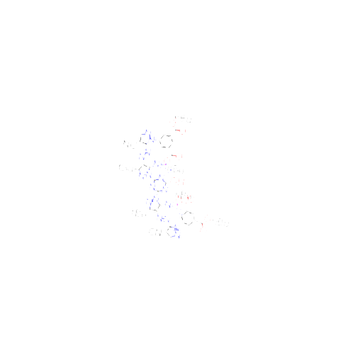 [C-]#[N+]c1cnn(-c2cc(C(=O)OCCCC)cc(C(=O)OCCCC)c2)c1N=Nc1c(C(C)(C)C)nn(-c2nc(O)nc(-n3nc(C(C)(C)C)c(N=Nc4c(C#N)cnn4-c4cc(C(=O)OCCCC)cc(C(=O)OCCCC)c4)c3N)n2)c1N